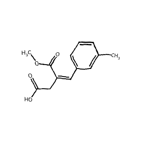 COC(=O)C(=Cc1cccc(C)c1)CC(=O)O